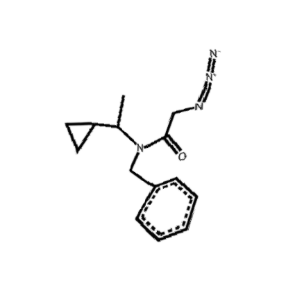 CC(C1CC1)N(Cc1ccccc1)C(=O)CN=[N+]=[N-]